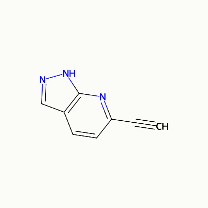 C#Cc1ccc2cn[nH]c2n1